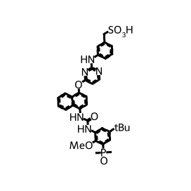 COc1c(NC(=O)Nc2ccc(Oc3ccnc(Nc4cccc(CS(=O)(=O)O)c4)n3)c3ccccc23)cc(C(C)(C)C)cc1P(C)(C)=O